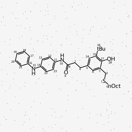 CCCCCCCCSCc1cc(CCC(=O)Nc2ccc(Nc3ccccc3)cc2)cc(C(C)(C)C)c1O